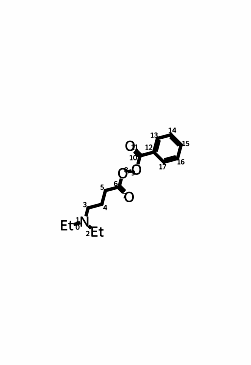 CCN(CC)CCCC(=O)OOC(=O)c1ccccc1